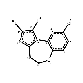 Clc1ccc2c(n1)-n1c(nc(I)c1I)CCO2